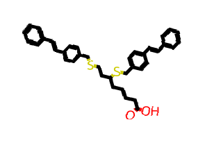 O=C(O)CCCCC(CCSCc1ccc(/C=C/c2ccccc2)cc1)SCc1ccc(/C=C/c2ccccc2)cc1